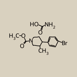 COC(=O)N1CCC(c2ccc(Br)cc2)C(C)C1.NC(=O)O